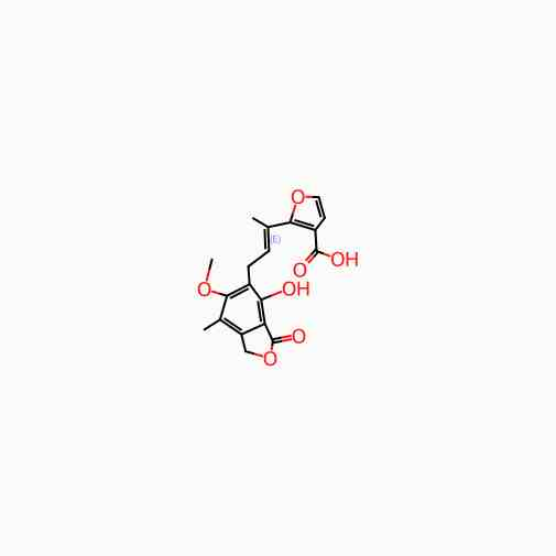 COc1c(C)c2c(c(O)c1C/C=C(\C)c1occc1C(=O)O)C(=O)OC2